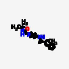 CC/C(=C\c1ccccc1)[C@@H]1C[C@H]1NC1CC2(C1)CN(CC(=O)NC(C)C)C2